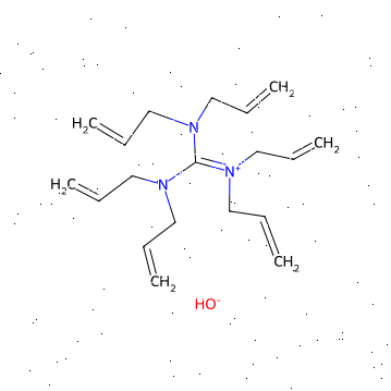 C=CCN(CC=C)C(N(CC=C)CC=C)=[N+](CC=C)CC=C.[OH-]